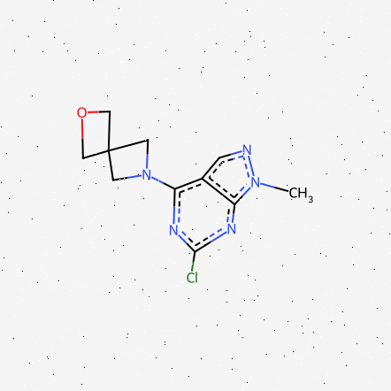 Cn1ncc2c(N3CC4(COC4)C3)nc(Cl)nc21